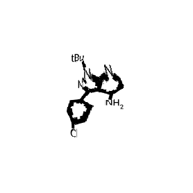 CC(C)(C)n1nc(-c2ccc(Cl)cc2)c2c(N)ccnc21